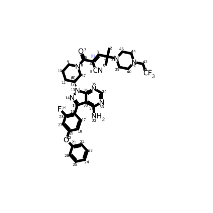 CC(C)(/C=C(\C#N)C(=O)N1CCC[C@@H](n2nc(-c3ccc(Oc4ccccc4)cc3F)c3c(N)ncnc32)C1)N1CCN(CC(F)(F)F)CC1